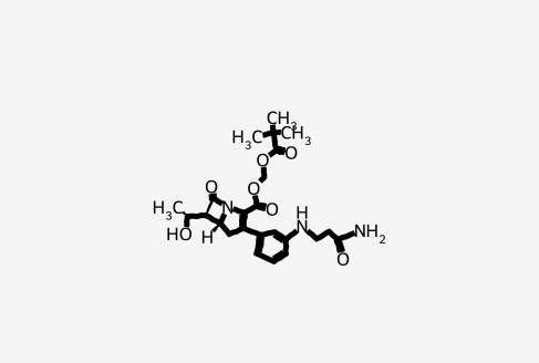 C[C@@H](O)[C@H]1C(=O)N2C(C(=O)OCOC(=O)C(C)(C)C)=C(c3cccc(NCCC(N)=O)c3)C[C@H]12